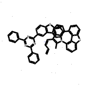 C=C/C=C\c1c(C)n(-c2cccc3sc4cccc(-c5ccc6c(c5)sc5ccc(-c7nc(-c8ccccc8)nc(-c8ccccc8)n7)cc56)c4c23)c2ccccc12